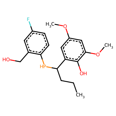 CCCC(Pc1ccc(F)cc1CO)c1cc(OC)cc(OC)c1O